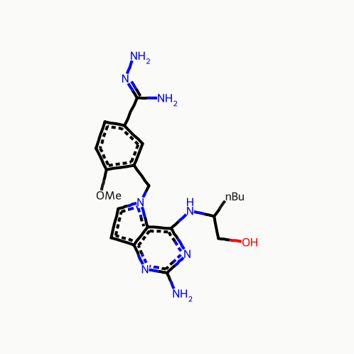 CCCCC(CO)Nc1nc(N)nc2ccn(Cc3cc(/C(N)=N/N)ccc3OC)c12